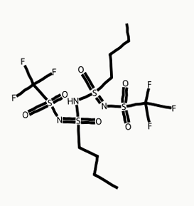 CCCCS(=O)(=NS(=O)(=O)C(F)(F)F)NS(=O)(CCCC)=NS(=O)(=O)C(F)(F)F